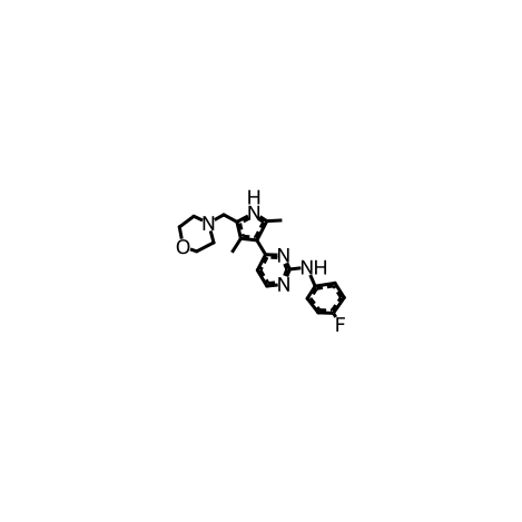 Cc1[nH]c(CN2CCOCC2)c(C)c1-c1ccnc(Nc2ccc(F)cc2)n1